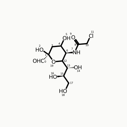 O=C[C@]1(O)CC(O)[C@@H](NC(=O)CCl)C([C@H](O)[C@H](O)CO)O1